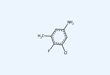 Cc1cc(N)cc(Cl)c1F